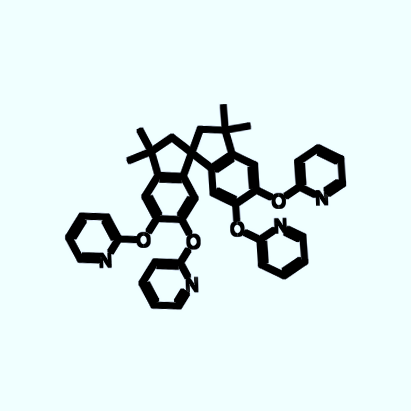 CC1(C)CC2(CC(C)(C)c3cc(Oc4ccccn4)c(Oc4ccccn4)cc32)c2cc(Oc3ccccn3)c(Oc3ccccn3)cc21